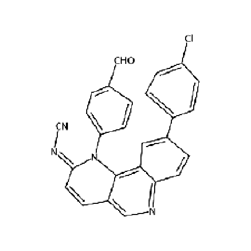 N#C/N=c1/ccc2cnc3ccc(-c4ccc(Cl)cc4)cc3c2n1-c1ccc(C=O)cc1